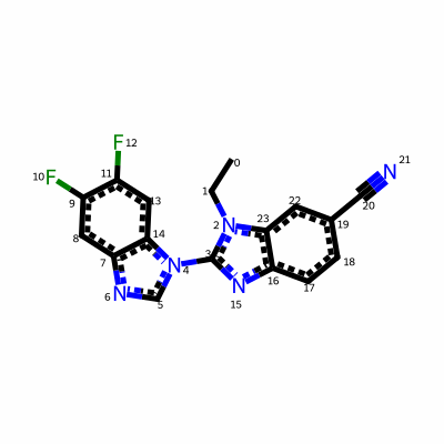 CCn1c(-n2cnc3cc(F)c(F)cc32)nc2ccc(C#N)cc21